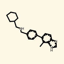 Cc1c(-c2ccc(CNCC3CCCCC3)cc2)ccc2nc[nH]c12